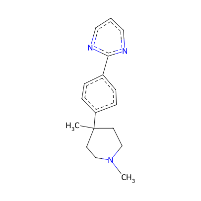 CN1CCC(C)(c2ccc(-c3ncccn3)cc2)CC1